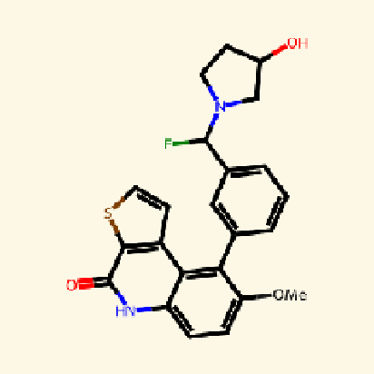 COc1ccc2[nH]c(=O)c3sccc3c2c1-c1cccc(C(F)N2CCC(O)C2)c1